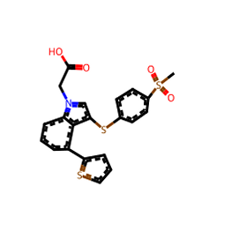 CS(=O)(=O)c1ccc(Sc2cn(CC(=O)O)c3cccc(-c4cccs4)c23)cc1